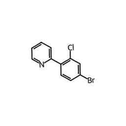 Clc1cc(Br)ccc1-c1ccccn1